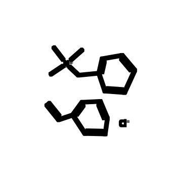 C=Cc1ccccc1.C[N+](C)(C)Cc1ccccc1.[Cl-]